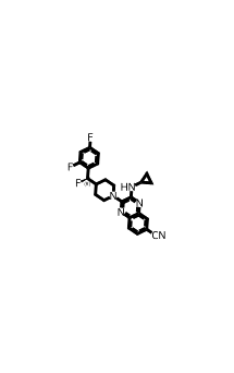 N#Cc1ccc2nc(N3CCC([C@@H](F)c4ccc(F)cc4F)CC3)c(NC3CC3)nc2c1